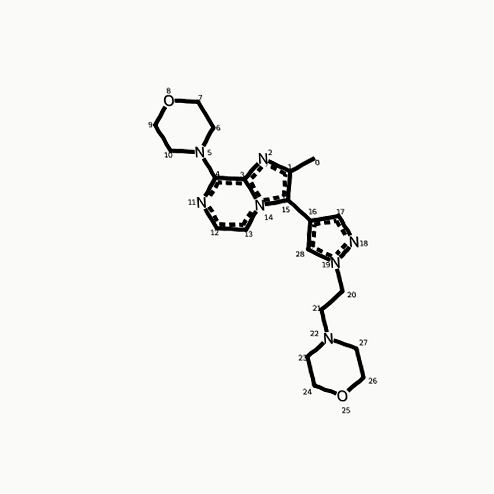 Cc1nc2c(N3CCOCC3)nccn2c1-c1cnn(CCN2CCOCC2)c1